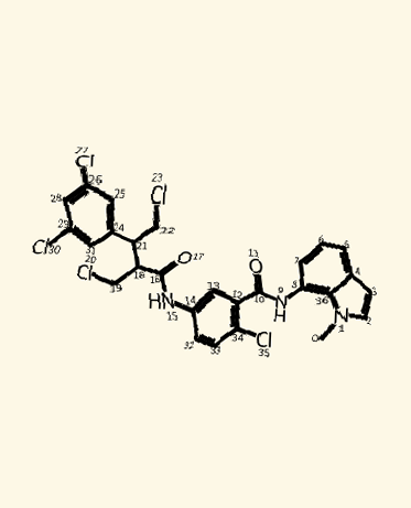 Cn1ccc2cccc(NC(=O)c3cc(NC(=O)C(CCl)C(CCl)c4cc(Cl)cc(Cl)c4)ccc3Cl)c21